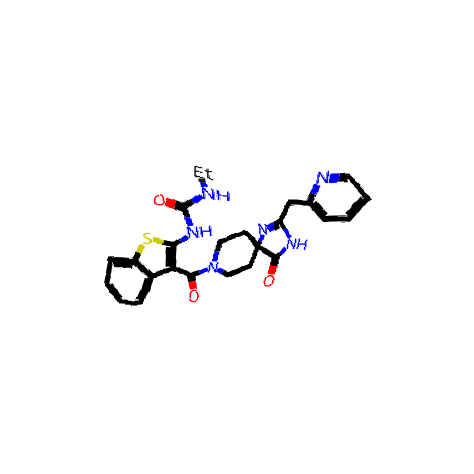 CCNC(=O)Nc1sc2ccccc2c1C(=O)N1CCC2(CC1)N=C(Cc1ccccn1)NC2=O